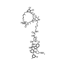 COc1cc2cc(c1Cl)N(C)C(=O)C[C@H](OC(=O)C(C)N(C)C(=O)CCSSCCNC(=O)CNC(=O)C[C@@H](N)C(=O)NCCNc1ncc(-c3cc(C)cc(F)c3)c(N3CCC(N)CC3)c1-c1nc3ccc(Cl)cc3[nH]1)C1(C)OC1C(C)C1C[C@](O)(C/C=C/C=C(\C)C2)NC(=O)O1